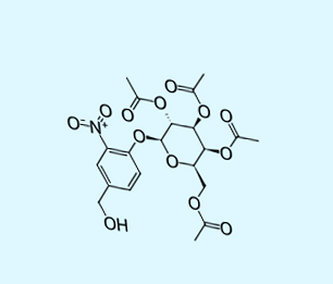 CC(=O)OC[C@H]1O[C@@H](Oc2ccc(CO)cc2[N+](=O)[O-])[C@H](OC(C)=O)[C@@H](OC(C)=O)[C@H]1OC(C)=O